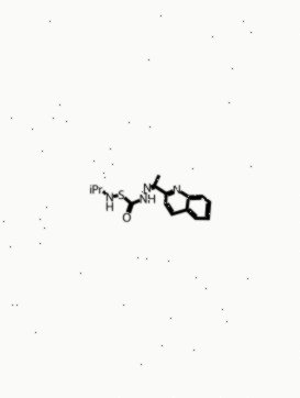 C/C(=N/NC(=O)SNC(C)C)c1ccc2ccccc2n1